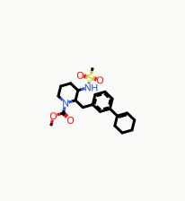 COC(=O)N1CCCC(NS(C)(=O)=O)C1Cc1cccc(C2=CCCCC2)c1